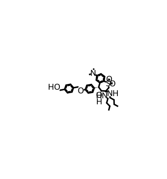 CCCCNC1(NCCCC)CS(=O)(=O)c2ccc(N(C)C)cc2[C@@H](c2ccc(OCc3ccc(CO)cc3)cc2)[C@H]1O